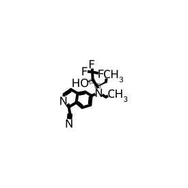 CC[C@H]([C@H](O)C(F)(F)F)N(CC)c1ccc2c(C#N)nccc2c1